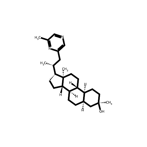 Cc1cncc(C[C@@H](C)[C@H]2CC[C@H]3[C@@H]4CC[C@@H]5C[C@](C)(O)CC[C@@H]5[C@H]4CC[C@]23C)n1